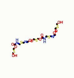 O=C(NCSC/N=C/OOCSCOC(=O)NCSC/N=C\OOCSCO)OCSCO